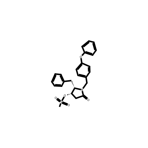 CS(=O)(=O)O[C@H]1CC(=O)N(Cc2ccc(Oc3ccccc3)cc2)[C@H]1Cc1ccccc1